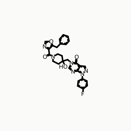 O=C(c1ncoc1Cc1ccccc1)N1CCC(O)(Cn2cnc3c(cnn3-c3ccc(F)cc3)c2=O)CC1